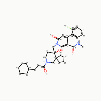 CN(C)C(=O)c1cn(CC2(O)CCN(C(=O)CCC3CCCCC3)CC23CCCC3)c(=O)cc1-c1ccccc1F